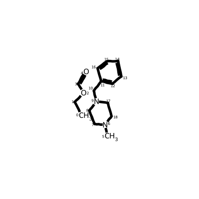 CCOC=O.CN1CCN(Cc2ccccc2)CC1